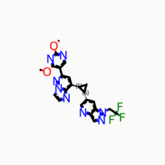 COc1ncc(-c2cc([C@H]3C[C@@H]3c3cnc4cnn(CC(F)(F)F)c4c3)c3nccn3n2)c(OC)n1